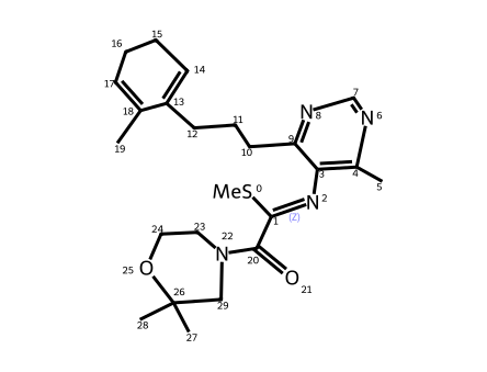 CS/C(=N\c1c(C)ncnc1CCCC1=CCCC=C1C)C(=O)N1CCOC(C)(C)C1